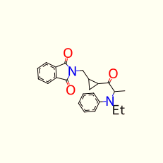 CCN(c1ccccc1)C(C)C(=O)C1CC1CN1C(=O)c2ccccc2C1=O